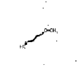 [CH]=CCCCOC